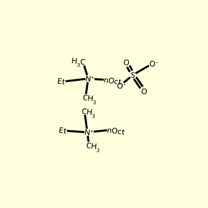 CCCCCCCC[N+](C)(C)CC.CCCCCCCC[N+](C)(C)CC.O=S(=O)([O-])[O-]